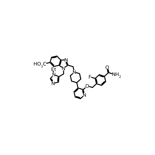 CCn1cncc1Cn1c(CN2CCC(c3cccnc3OCc3ccc(C(N)=O)cc3F)CC2)nc2ccc(C(=O)O)cc21